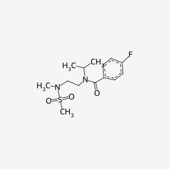 CC(C)N(CCN(C)S(C)(=O)=O)C(=O)c1ccc(F)cc1